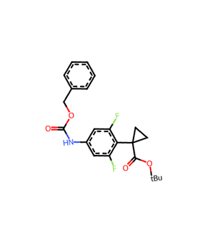 CC(C)(C)OC(=O)C1(c2c(F)cc(NC(=O)OCc3ccccc3)cc2F)CC1